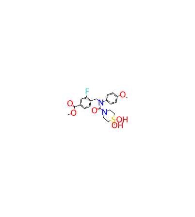 COC(=O)c1ccc(CN(C(=O)N2CCS(O)(O)CC2)c2ccc(OC)cc2)c(F)c1